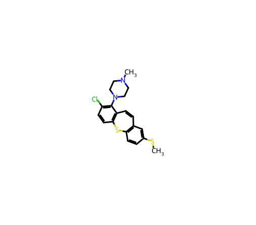 CSc1ccc2c(c1)C=Cc1c(ccc(Cl)c1N1CCN(C)CC1)S2